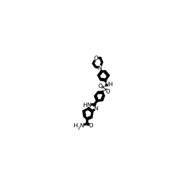 NC(=O)c1ccc2[nH]c(-c3ccc(S(=O)(=O)Nc4ccc(N5CCOCC5)cc4)cc3)nc2c1